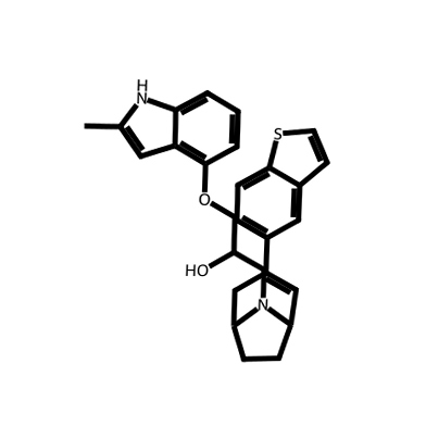 Cc1cc2c(OCC(O)CN3C4C=C(c5ccc6sccc6c5)CC3CC4)cccc2[nH]1